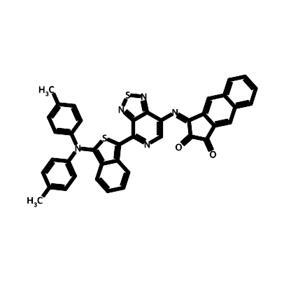 Cc1ccc(N(c2ccc(C)cc2)c2sc(-c3ncc(/N=c4\c(=O)c(=O)c5cc6ccccc6cc45)c4nsnc34)c3ccccc23)cc1